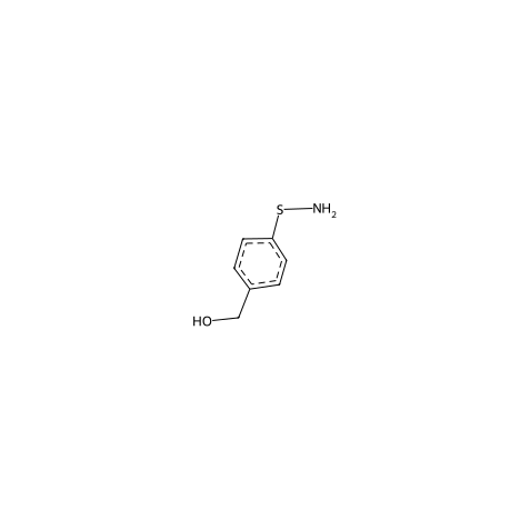 NSc1ccc(CO)cc1